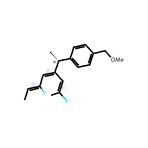 C/C=C(F)/C=C(\C=C(/C)F)[C@H](C)c1ccc(COC)cc1